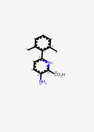 Cc1cccc(C)c1-c1ccc(N)c(C(=O)O)n1